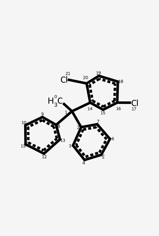 CC(c1cc[c]cc1)(c1cc[c]cc1)c1cc(Cl)ccc1Cl